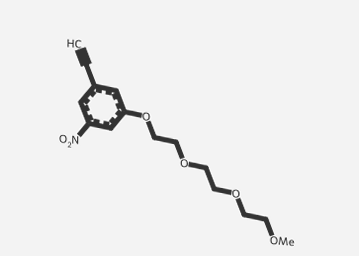 C#Cc1cc(OCCOCCOCCOC)cc([N+](=O)[O-])c1